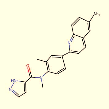 Cc1cc(-c2ccc3cc(C(F)(F)F)ccc3n2)ccc1N(C)C(=O)c1ccn[nH]1